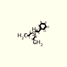 C=CC[SiH](C=Cc1ccccc1)CC=C